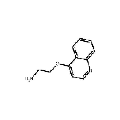 NCCOc1ccnc2ccccc12